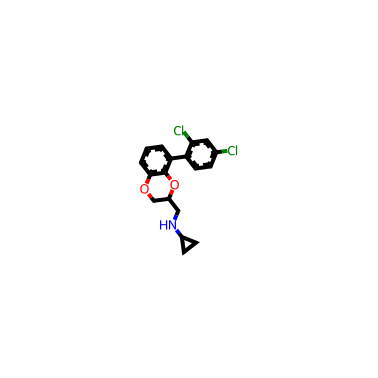 Clc1ccc(-c2cccc3c2OC(CNC2CC2)CO3)c(Cl)c1